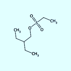 CCC(CC)COS(=O)(=O)CC